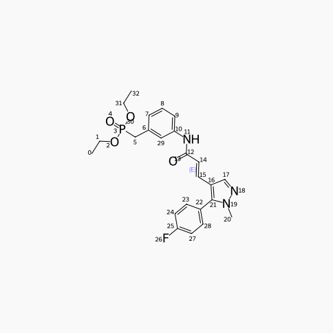 CCOP(=O)(Cc1cccc(NC(=O)/C=C/c2cnn(C)c2-c2ccc(F)cc2)c1)OCC